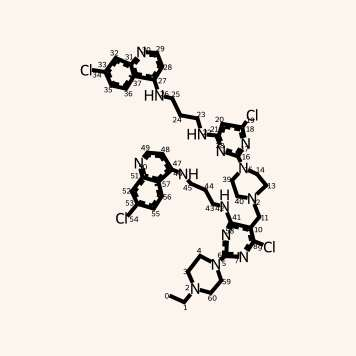 CCN1CCN(c2nc(Cl)c(CN3CCN(c4nc(Cl)cc(NCCCNc5ccnc6cc(Cl)ccc56)n4)CC3)c(NCCCNc3ccnc4cc(Cl)ccc34)n2)CC1